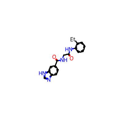 CCc1ccccc1NC(=O)CNC(=O)c1ccc2nc[nH]c2c1